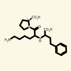 NCCCCC(NC(CCc1ccccc1)C(=O)O)C(=O)N1CCC[C@H]1C(=O)O